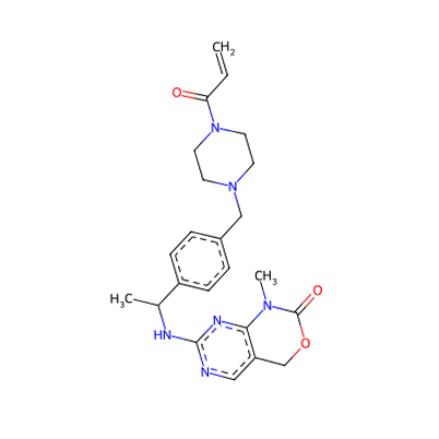 C=CC(=O)N1CCN(Cc2ccc(C(C)Nc3ncc4c(n3)N(C)C(=O)OC4)cc2)CC1